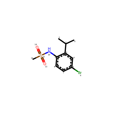 CC(C)c1cc(Br)ccc1NS(C)(=O)=O